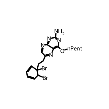 CCCCCOc1nc(N)nc2ncc(CCC3(Br)C=CC=CC3Br)nc12